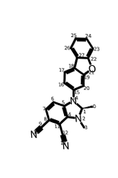 C[C@H]1N(C)c2c(ccc(C#N)c2C#N)N1c1ccc2c(c1)oc1ccccc12